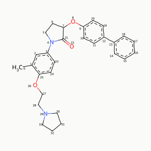 Cc1cc(N2CCC(Oc3ccc(-c4ccccc4)cc3)C2=O)ccc1OCCN1CCCC1